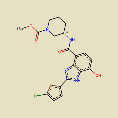 CC(C)(C)OC(=O)N1CCC[C@H](NC(=O)c2ccc(O)c3[nH]c(-c4ccc(Br)s4)nc23)C1